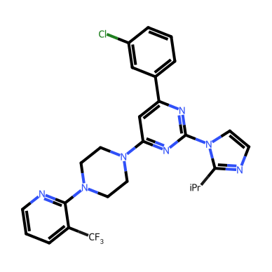 CC(C)c1nccn1-c1nc(-c2cccc(Cl)c2)cc(N2CCN(c3ncccc3C(F)(F)F)CC2)n1